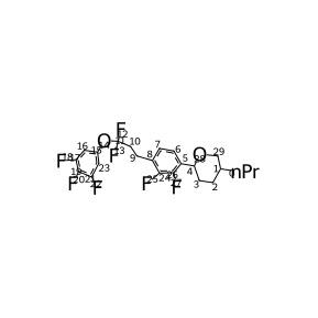 CCCC1CCC(c2ccc(CCC(F)(F)Oc3cc(F)c(F)c(F)c3)c(F)c2F)OC1